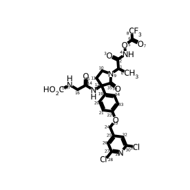 CC(C(=O)NOC(=O)C(F)(F)F)N1CCC(NC(=O)CNC(=O)O)(c2ccc(OCc3cc(Cl)nc(Cl)c3)cc2)C1=O